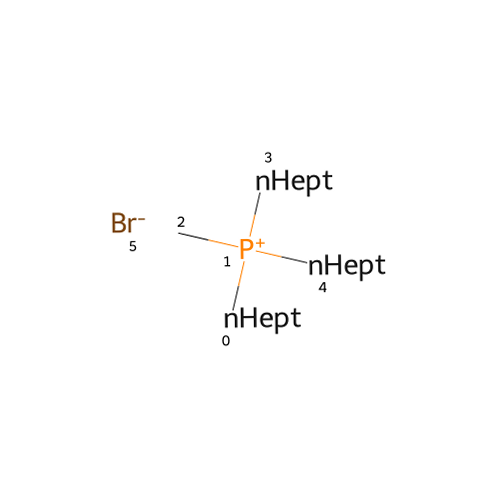 CCCCCCC[P+](C)(CCCCCCC)CCCCCCC.[Br-]